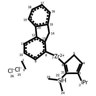 CC.CC(C)C1=CC[C]([Zr+2][c]2cccc3c2Cc2ccccc2-3)=C1[SiH](C)C.[Cl-].[Cl-]